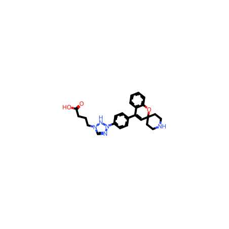 O=C(O)CCCN1C=NN(c2ccc(C3=CC4(CCNCC4)Oc4ccccc43)cc2)N1